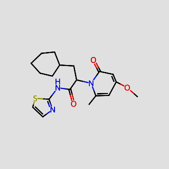 COc1cc(C)n(C(CC2CCCCC2)C(=O)Nc2nccs2)c(=O)c1